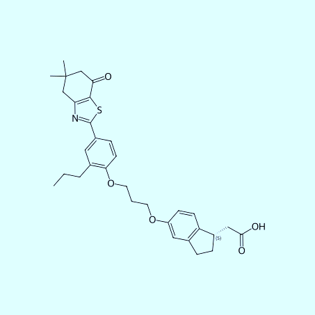 CCCc1cc(-c2nc3c(s2)C(=O)CC(C)(C)C3)ccc1OCCCOc1ccc2c(c1)CC[C@H]2CC(=O)O